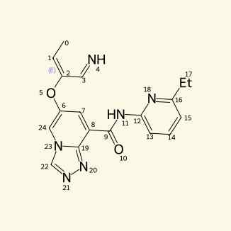 C/C=C(\C=N)Oc1cc(C(=O)Nc2cccc(CC)n2)c2nncn2c1